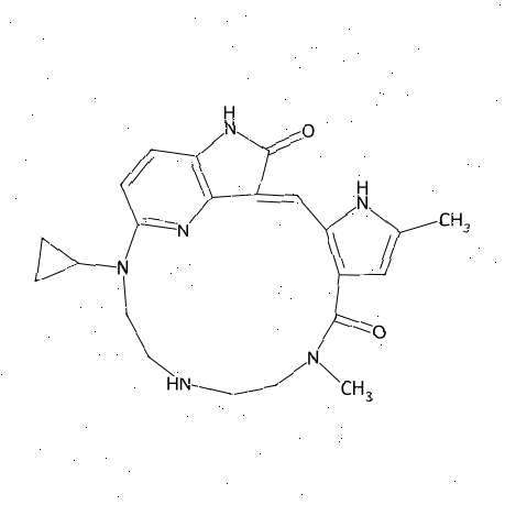 Cc1cc2c([nH]1)/C=C1\C(=O)Nc3ccc(nc31)N(C1CC1)CCNCCN(C)C2=O